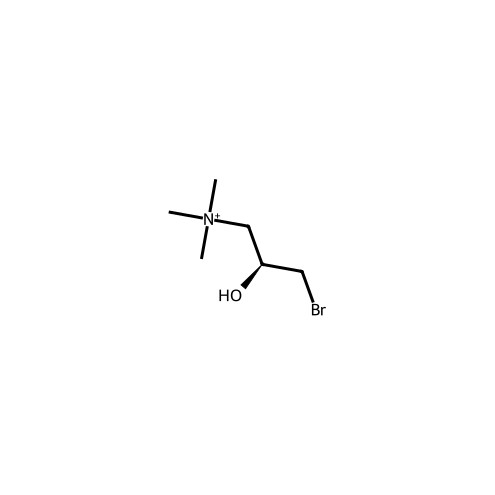 C[N+](C)(C)C[C@H](O)CBr